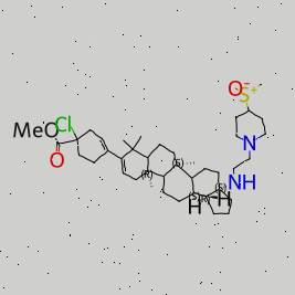 COC(=O)C1(Cl)CC=C(C2=CC[C@@]3(C)C(CC[C@@]4(C)C5CC[C@@]6(NCCN7CCC([S+](C)[O-])CC7)CCC[C@@H]6[C@H]5CCC43)C2(C)C)CC1